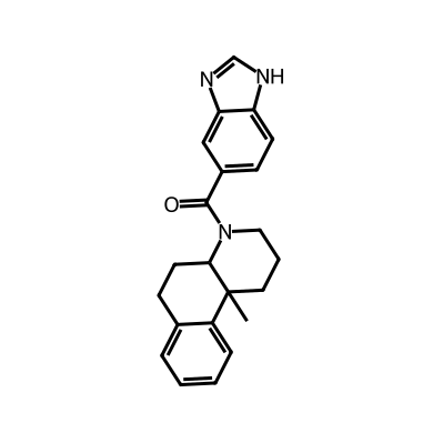 CC12CCCN(C(=O)c3ccc4[nH]cnc4c3)C1CCc1ccccc12